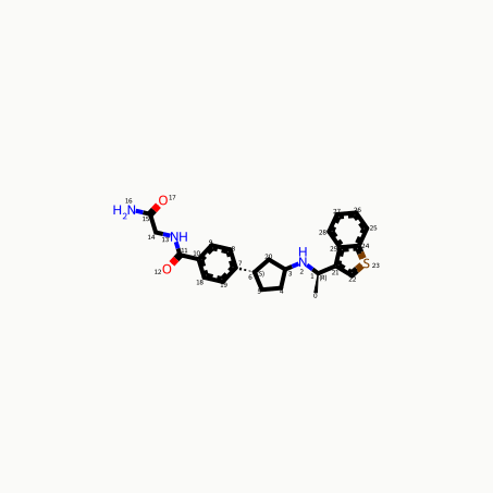 C[C@@H](NC1CC[C@H](c2ccc(C(=O)NCC(N)=O)cc2)C1)c1csc2ccccc12